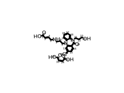 O=C(O)/C=C/CNCCCN1c2cc(Cl)ccc2C(=O)N(CCCO)c2ccccc21.O=C(O)/C=C\C(=O)O